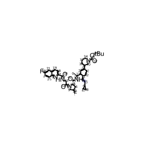 C[C@H](NC(=O)[C@@H]1C[C@@H](F)CN1C(=O)CNC(=O)c1ccc2cc(F)ccc2n1)c1cc(C2CCCN(C(=O)OC(C)(C)C)C2)ccc1/C=C/C1CC1